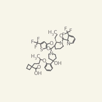 CCC[C@H]1N(C(=O)c2ncccc2C(F)(F)F)CCC[C@@]1(Oc1csc(C(F)(F)F)c1)C(=O)N1CCC(O)(c2ccccc2OC(C)CCC2(C(=O)O)CCC2)CC1